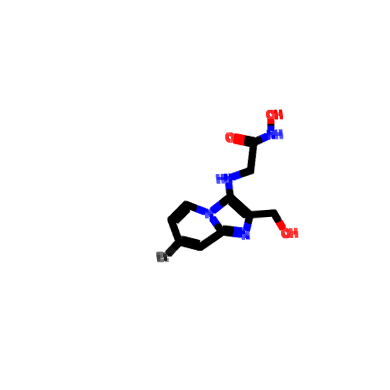 CCc1ccn2c(NCC(=O)NO)c(CO)nc2c1